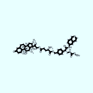 C[C@@H]1C[C@H]2[C@@H]3CCC4=CC(=O)C=C[C@]4(C)[C@@]3(F)[C@@H](O)C[C@]2(C)[C@@]1(O)C(=O)COC(=O)CC[C@H](N)C(=O)OCc1ccc([C@@H](CNC(=O)OC(C)(C)C)C(=O)Nc2ccc3cnccc3c2)cc1